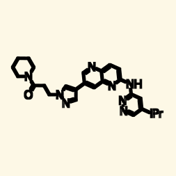 CC(C)c1cnnc(Nc2ccc3ncc(-c4cnn(CCC(=O)N5CCCCC5)c4)cc3n2)c1